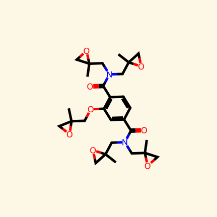 CC1(COc2cc(C(=O)N(CC3(C)CO3)CC3(C)CO3)ccc2C(=O)N(CC2(C)CO2)CC2(C)CO2)CO1